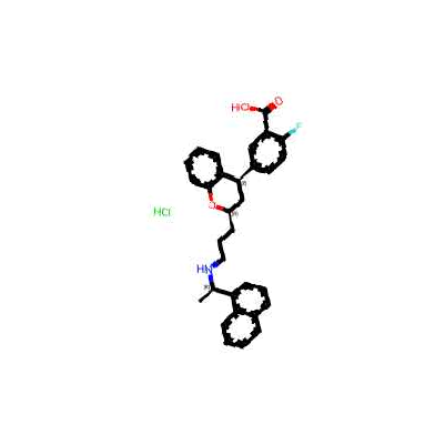 C[C@@H](NCCC[C@@H]1C[C@H](c2ccc(F)c(C(=O)O)c2)c2ccccc2O1)c1cccc2ccccc12.Cl